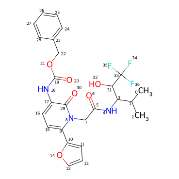 CC(C)C(NC(=O)Cn1c(-c2ccco2)ccc(NC(=O)OCc2ccccc2)c1=O)C(O)C(F)(F)F